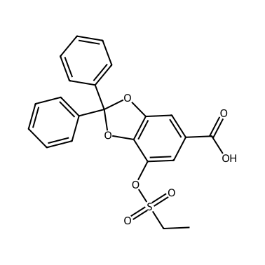 CCS(=O)(=O)Oc1cc(C(=O)O)cc2c1OC(c1ccccc1)(c1ccccc1)O2